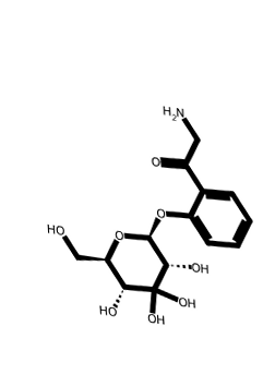 NCC(=O)c1ccccc1O[C@@H]1O[C@H](CO)[C@@H](O)C(O)(O)[C@H]1O